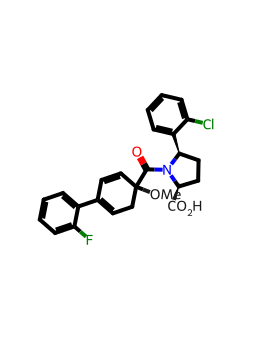 COC1(C(=O)N2[C@@H](c3ccccc3Cl)CC[C@H]2C(=O)O)C=CC(c2ccccc2F)=CC1